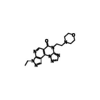 CCn1ncc2c1ncc1c(=O)n(CCN3CCOCC3)c3ncnn3c12